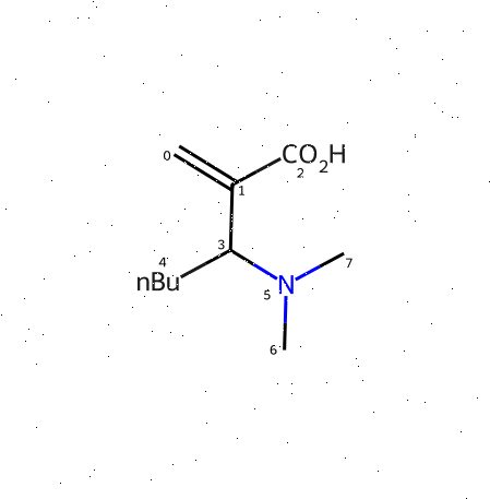 C=C(C(=O)O)C(CCCC)N(C)C